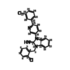 N=c1n(Cc2ccccc2Cl)c2ccccc2n1-c1ccc(-c2cccc(Cl)c2)nc1